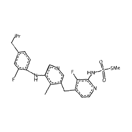 CSS(=O)(=O)Nc1nccc(Cc2cncc(Nc3ccc(CC(C)C)cc3F)c2C)c1F